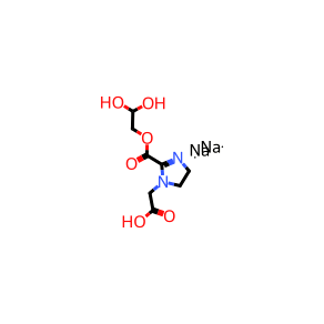 O=C(O)CN1CCN=C1C(=O)OCC(O)O.[Na].[Na]